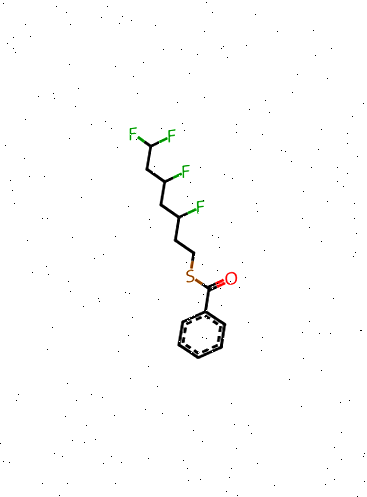 O=C(SCCC(F)CC(F)CC(F)F)c1ccccc1